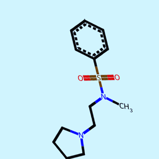 CN(CCN1CCCC1)S(=O)(=O)c1cc[c]cc1